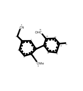 COc1ccc(CC#N)cc1-c1ccc(C)cc1C=O